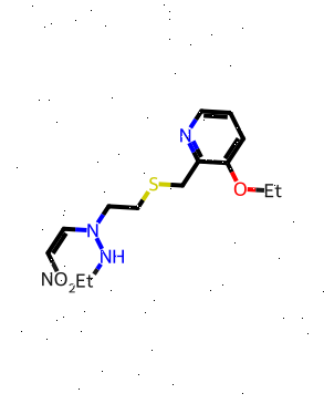 CCNN(/C=C\[N+](=O)[O-])CCSCc1ncccc1OCC